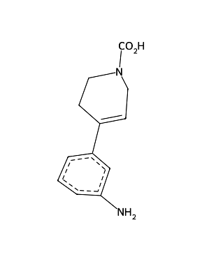 Nc1cccc(C2=CCN(C(=O)O)CC2)c1